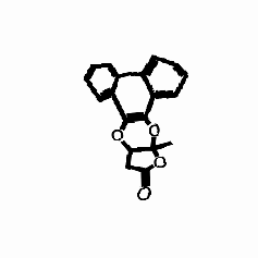 CC12OC(=O)CC1Oc1c(c3ccccc3c3ccccc13)O2